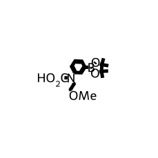 COCCN(C(=O)O)c1cccc(B2OC(C)(C)C(C)(C)O2)c1